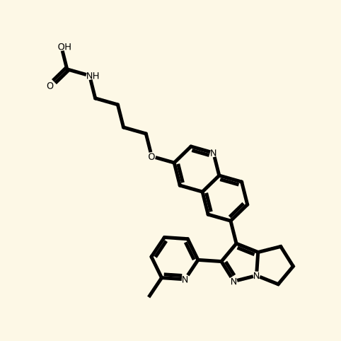 Cc1cccc(-c2nn3c(c2-c2ccc4ncc(OCCCCNC(=O)O)cc4c2)CCC3)n1